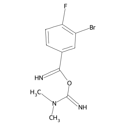 CN(C)C(=N)OC(=N)c1ccc(F)c(Br)c1